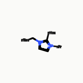 CCCCCCCCCCn1cc[n+](CCC)c1CCCCCC